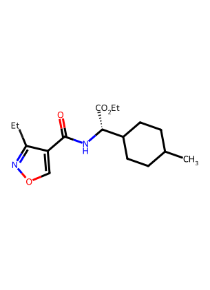 CCOC(=O)[C@@H](NC(=O)c1conc1CC)C1CCC(C)CC1